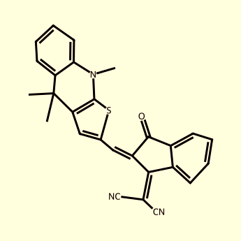 CN1c2ccccc2C(C)(C)c2cc(/C=C3\C(=O)c4ccccc4C3=C(C#N)C#N)sc21